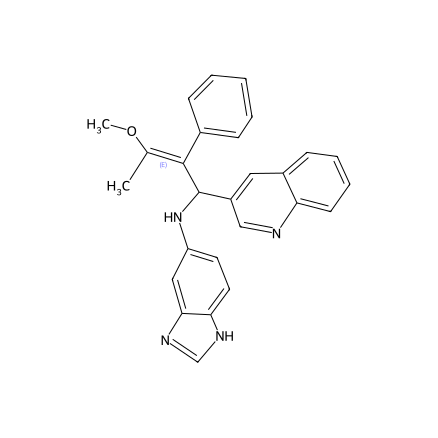 CO/C(C)=C(\c1ccccc1)C(Nc1ccc2[nH]cnc2c1)c1cnc2ccccc2c1